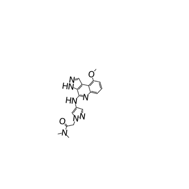 COc1cccc2nc(Nc3cnn(CC(=O)N(C)C)c3)c3[nH]ncc3c12